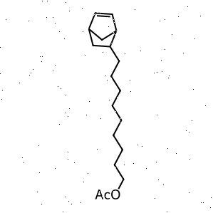 CC(=O)OCCCCCCCCCC1CC2C=CC1C2